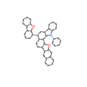 c1ccc(-n2c3ccccc3c3cc(-c4cccc5c4oc4ccccc45)c4ccc5c6cc7ccccc7cc6oc5c4c32)cc1